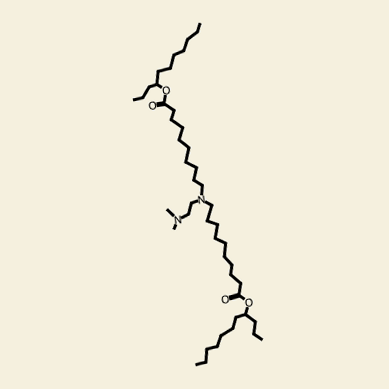 CCCCCCCC(CCC)OC(=O)CCCCCCCCCN(CCCCCCCCCC(=O)OC(CCC)CCCCCCC)CCN(C)C